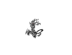 CC(=O)C(CC(C)C)NC(=O)C(Cc1ccc(O)cc1)NC(=O)C(CO)NC(=O)C(Cc1c[nH]c2ccccc12)NC(=O)C(Cc1cnc[nH]1)NC(=O)C1CCC(=O)N1